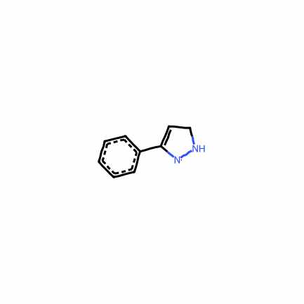 C1=C(c2ccccc2)[N]NC1